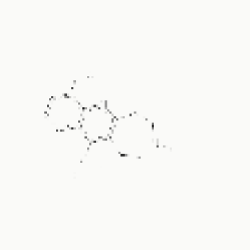 CCOC(=O)N1CCc2nc3c(OC)cccc3c(C)c2CC1.Cl